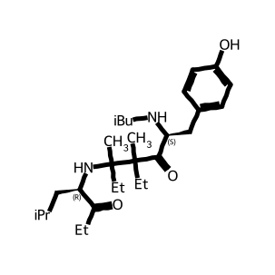 CCC(=O)[C@@H](CC(C)C)NC(C)(CC)C(C)(CC)C(=O)[C@H](Cc1ccc(O)cc1)NC(C)CC